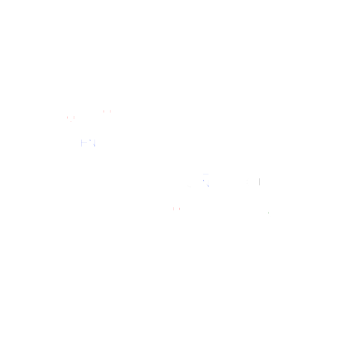 Cc1c(Cl)cccc1NC(=O)/C=C/c1ccc2oc(=O)[nH]c2c1